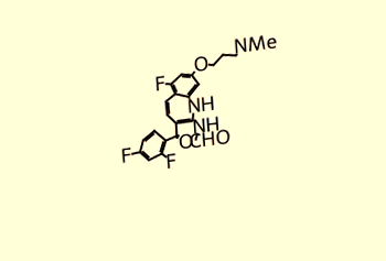 CNCCCOc1cc(F)c2c(c1)NC(NC=O)=C(C(=O)c1ccc(F)cc1F)C=C2